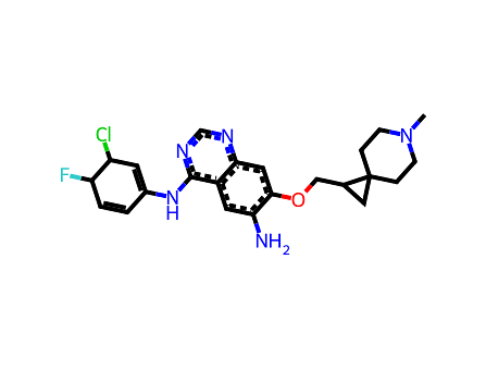 CN1CCC2(CC1)CC2COc1cc2ncnc(NC3=CC(Cl)C(F)C=C3)c2cc1N